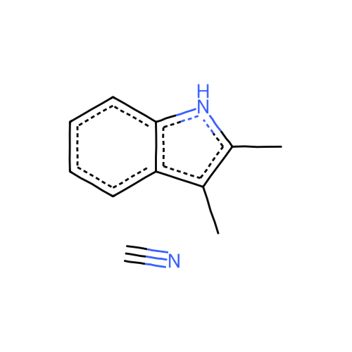 C#N.Cc1[nH]c2ccccc2c1C